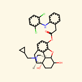 O=C(Cc1ccccc1Nc1c(Cl)cccc1Cl)Oc1ccc2c3c1OC1C(O)CC[C@@]4(O)[C@@H](C2)N(CC2CC2)CC[C@]314